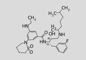 CCNc1cc(C(=O)N[C@@H](Cc2cccc(F)c2)[C@H](O)CNC(C)CCCC(C)C)cc(N2CCCCS2(=O)=O)c1